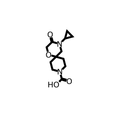 O=C(O)N1CCC2(CC1)CN(C1CC1)C(=O)CO2